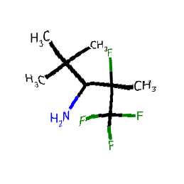 CC(C)(C)C(N)C(C)(F)C(F)(F)F